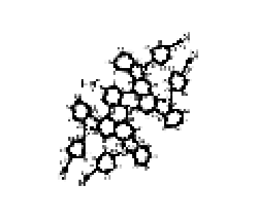 Cc1cc2c3c(c1)-c1c4c(cc5c6ccccc6n(-c6ccc(C#N)cc6)c5c4cc4c1c1ccccc1n4-c1ccc(C#N)cc1)B3c1cc3c4ccccc4n(-c4ccc(C#N)cc4)c3c3cc4c(c-2c13)c1ccccc1n4-c1ccc(C#N)cc1